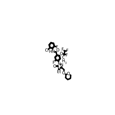 CCn1c(COC2CCCCO2)nn(-c2cc(OC(C)(F)C(F)F)c(C(=O)Nc3c(F)cccc3Cl)cc2F)c1=O